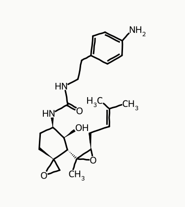 CC(C)=CC[C@H]1OC1(C)[C@H]1[C@H](O)[C@H](NC(=O)NCCc2ccc(N)cc2)CC[C@]12CO2